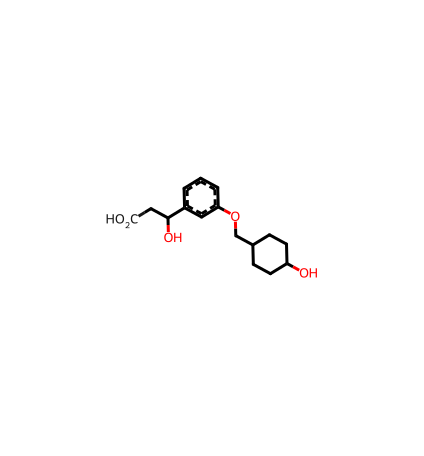 O=C(O)CC(O)c1cccc(OCC2CCC(O)CC2)c1